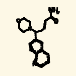 NC(=O)C=CC(c1ccc2ncccc2c1)N1CCOCC1